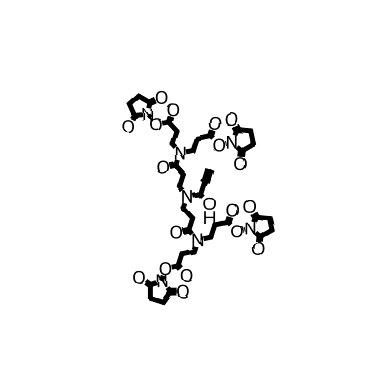 C#CC(O)N(CCC(=O)N(CCC(=O)ON1C(=O)CCC1=O)CCC(=O)ON1C(=O)CCC1=O)CCC(=O)N(CCC(=O)ON1C(=O)CCC1=O)CCC(=O)ON1C(=O)CCC1=O